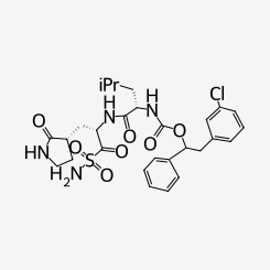 CC(C)C[C@H](NC(=O)OC(Cc1cccc(Cl)c1)c1ccccc1)C(=O)N[C@@H](C[C@@H]1CCNC1=O)C(=O)S(N)(=O)=O